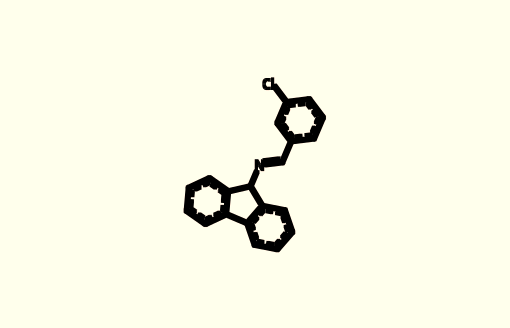 Clc1cccc(C=NC2c3ccccc3-c3ccccc32)c1